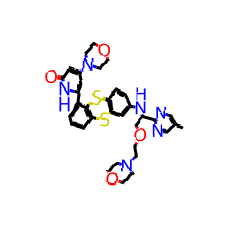 Cc1cnc(C(COCCN2CCOCC2)Nc2ccc3c(c2)Sc2cccc(-c4cc(N5CCOCC5)cc(=O)[nH]4)c2S3)nc1